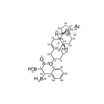 BC(C(=O)OC1CC[C@@]2(C)C(=CC[C@H]3[C@@H]4CC[C@H](C(C)=O)[C@@]4(C)CC[C@@H]32)C1)C(B)c1ccccc1